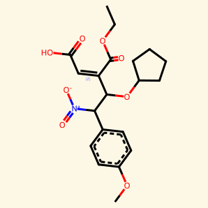 CCOC(=O)/C(=C\C(=O)O)C(OC1CCCC1)C(c1ccc(OC)cc1)[N+](=O)[O-]